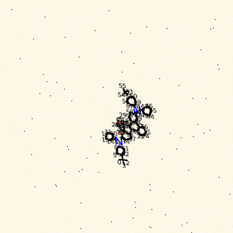 CC(C)(C)c1ccc(N(c2ccccc2)c2ccc3c(c2)C([Si](C)(C)C)([Si](C)(C)C)c2c-3c3ccccc3c3cc(N(c4ccccc4)c4ccc(C(C)(C)C)cc4)ccc23)cc1